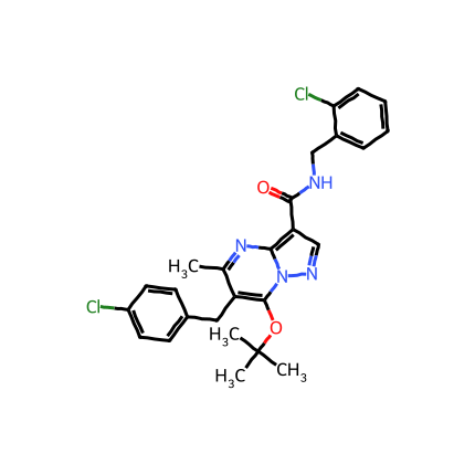 Cc1nc2c(C(=O)NCc3ccccc3Cl)cnn2c(OC(C)(C)C)c1Cc1ccc(Cl)cc1